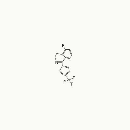 Fc1cccc2c1CCN=C2c1ccc(C(F)(F)F)cc1